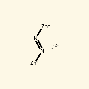 [O-2].[Zn+][N]=[N][Zn+]